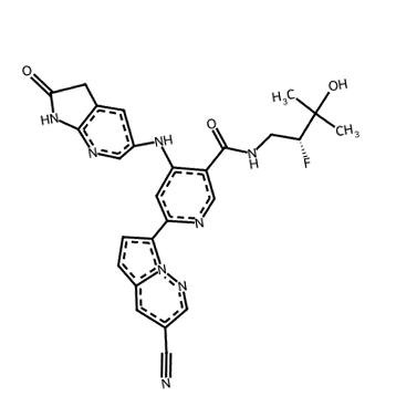 CC(C)(O)[C@H](F)CNC(=O)c1cnc(-c2ccc3cc(C#N)cnn23)cc1Nc1cnc2c(c1)CC(=O)N2